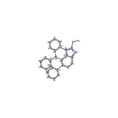 CCc1nc2ccc(-c3ccccc3)c3c2n1-c1ccccc1N3c1ccccc1